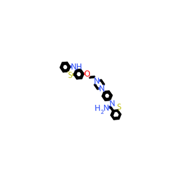 NC(=Nc1ccc(N2CCN(CCOc3ccc4c(c3)Nc3ccccc3S4)CC2)cc1)C1=CC=CCC1=S